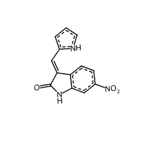 O=C1Nc2cc([N+](=O)[O-])ccc2C1=Cc1ccc[nH]1